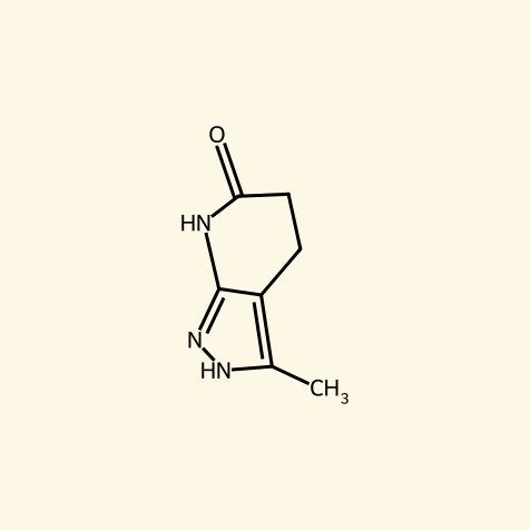 Cc1[nH]nc2c1CCC(=O)N2